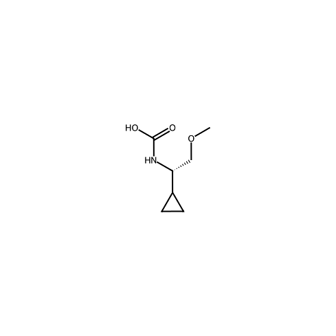 COC[C@@H](NC(=O)O)C1CC1